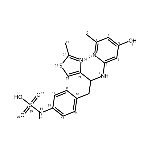 Cc1cc(O)cc(NC(Cc2ccc(NS(=O)(=O)O)cc2)c2csc(C)n2)n1